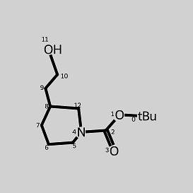 CC(C)(C)OC(=O)N1CCCC(CCO)C1